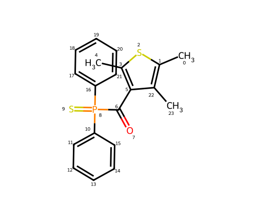 Cc1sc(C)c(C(=O)P(=S)(c2ccccc2)c2ccccc2)c1C